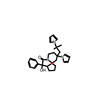 CC(C)(CC1(n2cccc2)CCN(C(=O)C(O)(c2ccccc2)C2CCCC2)CC1)n1cccc1